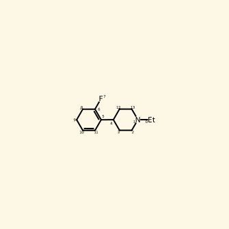 CCN1CCC(C2=C(F)[CH]CC=C2)CC1